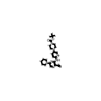 CC(C)(C)OC(=O)N1CCN(c2ccc(Nc3nc(N4CCCCC4)cnc3C#N)nc2)CC1